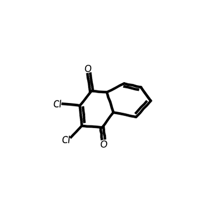 O=C1C(Cl)=C(Cl)C(=O)C2C=CC=CC12